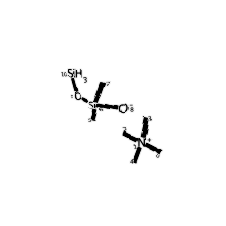 C[N+](C)(C)C.C[Si](C)([O-])O[SiH3]